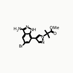 COC(=O)C(C)(C)n1cc(-c2cc(Br)cc3c(N)n[nH]c23)cn1